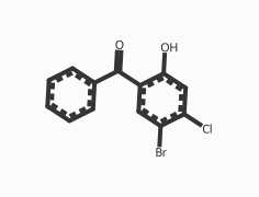 O=C(c1ccccc1)c1cc(Br)c(Cl)cc1O